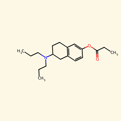 CCCN(CCC)C1CCc2cc(OC(=O)CC)ccc2C1